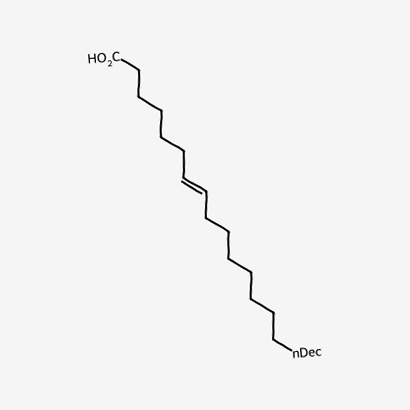 CCCCCCCCCCCCCCCCCC=CCCCCCC(=O)O